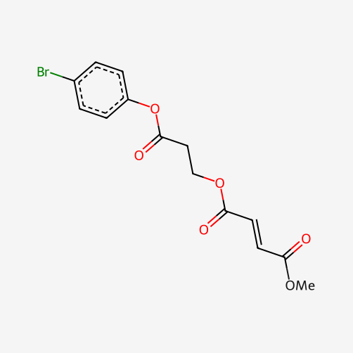 COC(=O)C=CC(=O)OCCC(=O)Oc1ccc(Br)cc1